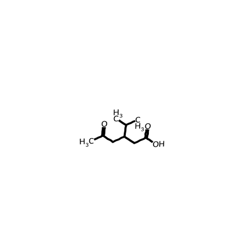 CC(=O)CC(CC(=O)O)C(C)C